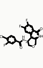 O=C(N[C@H]1COCc2[nH]c(=O)c3cc(F)c(F)cc3c21)c1ccc(Cl)c(F)c1